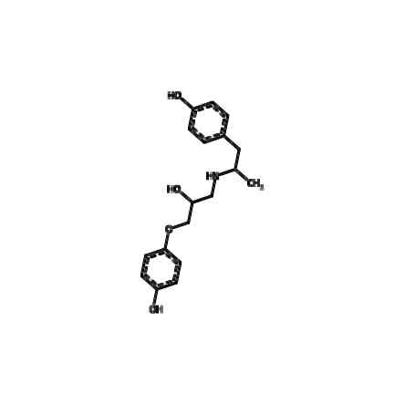 CC(Cc1ccc(O)cc1)NCC(O)COc1ccc(O)cc1